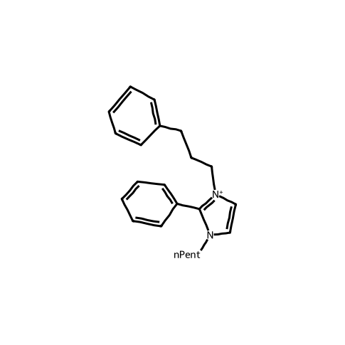 CCCCCn1cc[n+](CCCc2ccccc2)c1-c1ccccc1